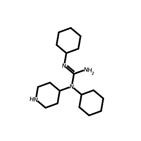 NC(=NC1CCCCC1)N(C1CCCCC1)C1CCNCC1